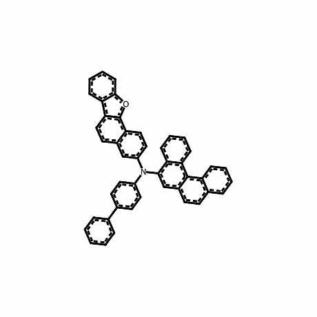 c1ccc(-c2ccc(N(c3ccc4c(ccc5c6ccccc6oc45)c3)c3cc4ccc5ccccc5c4c4ccccc34)cc2)cc1